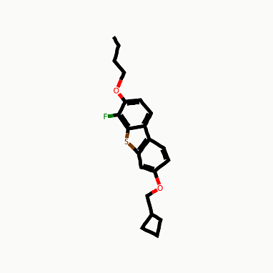 CCCCOc1ccc2c(sc3cc(OCC4CCC4)ccc32)c1F